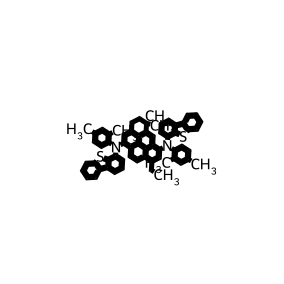 CCc1cc(N(c2ccc(C)cc2C)c2cccc3c2sc2ccccc23)c2cc3c4c(cc(N(c5ccc(C)cc5C)c5cccc6c5sc5ccccc56)c5ccc1c2c54)CCC3(C)C